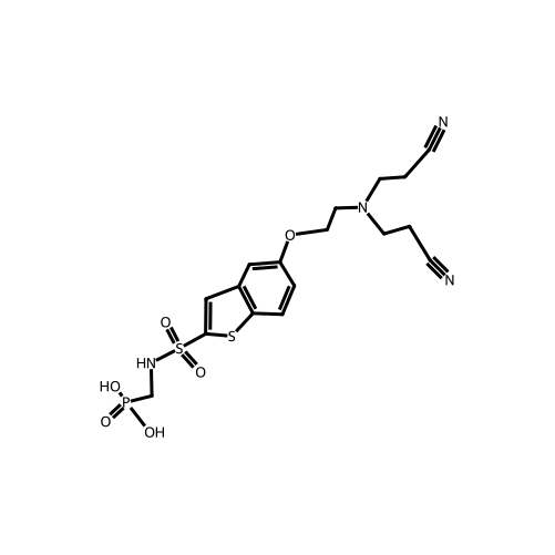 N#CCCN(CCC#N)CCOc1ccc2sc(S(=O)(=O)NCP(=O)(O)O)cc2c1